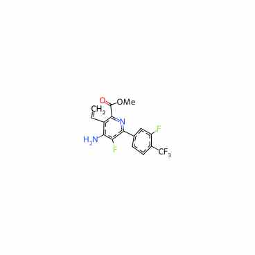 C=Cc1c(C(=O)OC)nc(-c2ccc(C(F)(F)F)c(F)c2)c(F)c1N